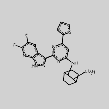 O=C(O)C1C2CCC(CC2)C1Nc1cc(-c2cccs2)nc(-c2n[nH]c3nc(F)c(F)cc23)n1